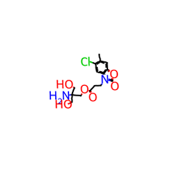 Cc1cc2oc(=O)n(CCC(=O)OCC(N)(CO)CO)c2cc1Cl